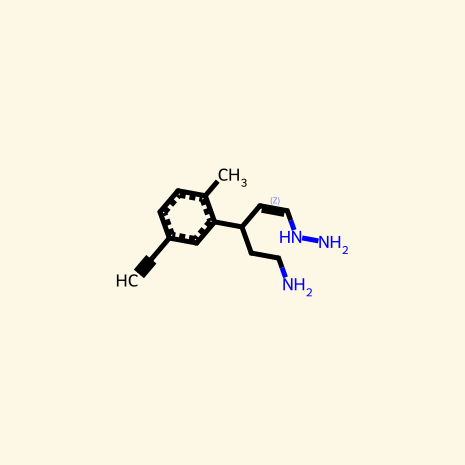 C#Cc1ccc(C)c(C(/C=C\NN)CCN)c1